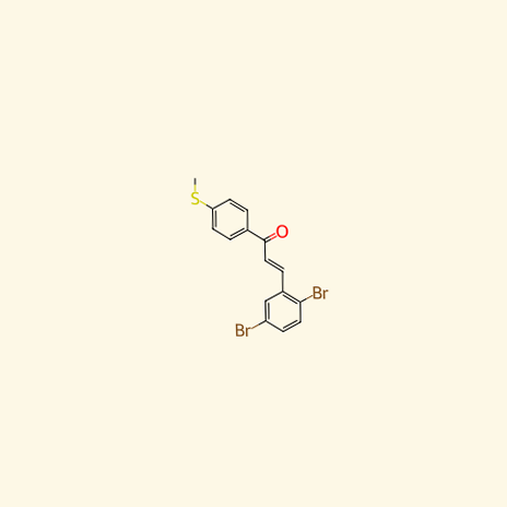 CSc1ccc(C(=O)/C=C/c2cc(Br)ccc2Br)cc1